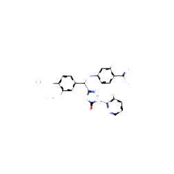 COc1ccc(C(Nc2ccc(C(=N)N)c(F)c2)c2nn(-c3ncccc3F)c(=O)[nH]2)cc1OC